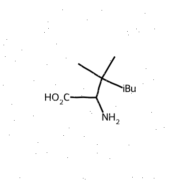 CCC(C)C(C)(C)C(N)C(=O)O